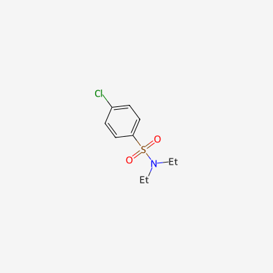 CCN(CC)S(=O)(=O)c1ccc(Cl)cc1